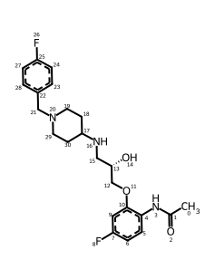 CC(=O)Nc1ccc(F)cc1OC[C@@H](O)CNC1CCN(Cc2ccc(F)cc2)CC1